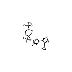 Cn1cc(-c2conc2C2CC2)nc1[C@@H]1C(F)(F)C12CCN(S(N)(=O)=O)CC2